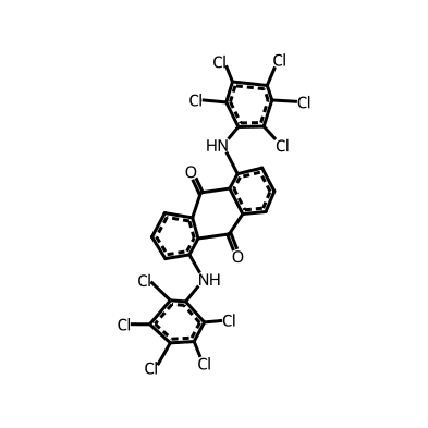 O=C1c2cccc(Nc3c(Cl)c(Cl)c(Cl)c(Cl)c3Cl)c2C(=O)c2cccc(Nc3c(Cl)c(Cl)c(Cl)c(Cl)c3Cl)c21